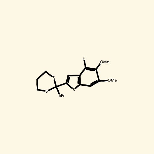 CCCC1(c2cc3c(F)c(OC)c(OC)cc3s2)SCCCS1